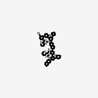 N#Cc1ccc(-c2nc(-n3c4cc5cc(-c6ccc7c8c9c(cc%10c%11ccccc%11n(c7c6)c%108)c6cc7ccccc7cc6n9-c6nc(C#N)c7ncccc7n6)ccc5cc4c4cc5c6ccccc6n6c7ccccc7c(c43)c56)nc3cccnc23)cc1